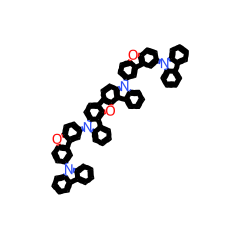 c1ccc2c(c1)c1ccccc1n2-c1ccc2oc3ccc(-n4c5ccccc5c5c6oc7c(ccc8c7c7ccccc7n8-c7ccc8oc9ccc(-n%10c%11ccccc%11c%11ccccc%11%10)cc9c8c7)c6ccc54)cc3c2c1